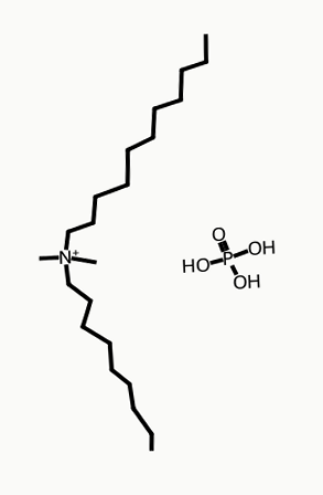 CCCCCCCCCCC[N+](C)(C)CCCCCCCCC.O=P(O)(O)O